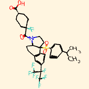 CC(C)c1ccc(S(=O)(=O)C23CCN(C(=O)[C@]4(F)CC[C@@H](C(=O)O)CC4)C2CCc2cc(C(F)(C(F)(F)F)C(F)(F)F)ccc23)cc1